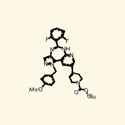 COc1ccc(Cn2ncc3c2-c2cc(C4=CCN(C(=O)OC(C)(C)C)CC4)cnc2NC(c2c(F)cccc2F)=N3)cc1